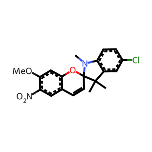 COc1cc2c(cc1[N+](=O)[O-])C=CC1(O2)N(C)c2ccc(Cl)cc2C1(C)C